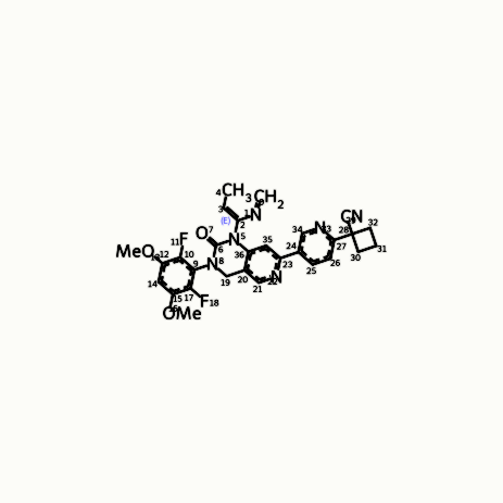 C=N/C(=C\C)N1C(=O)N(c2c(F)c(OC)cc(OC)c2F)Cc2cnc(-c3ccc(C4(C#N)CCC4)nc3)cc21